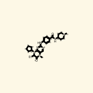 CCC1C(=O)N(C)c2cnc(Nc3ccc(C(=O)NC4CCN(C)CC4)cc3)nc2N1C1CCCC1